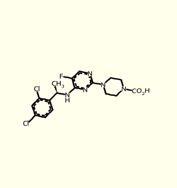 C[C@@H](Nc1nc(N2CCN(C(=O)O)CC2)ncc1F)c1ccc(Cl)cc1Cl